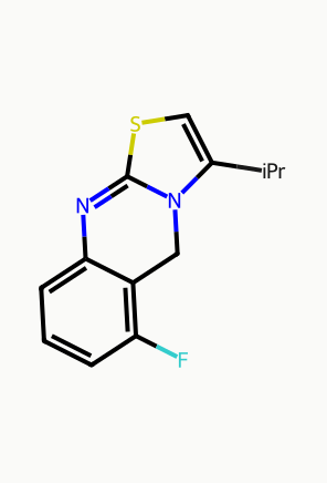 CC(C)C1=CSC2=Nc3cccc(F)c3CN12